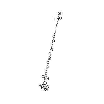 O=C(CCS)NCCCCCCCCCCCOCCOCCOCCOCCOCCOCCOCCOCCOCCOC(=O)NCc1ccc(C(=O)NO)c(O)c1